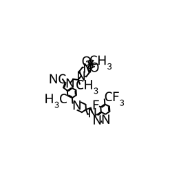 Cc1c(CN2CCC3(CC2)CN(c2ncnc4ccc(CC(F)(F)F)c(F)c24)C3)ccc2c1cc(C#N)n2CC(C)N1CCN(S(C)(=O)=O)CC1